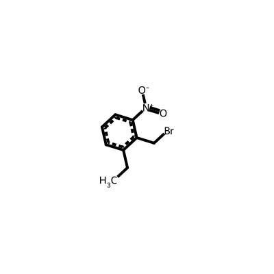 CCc1cccc([N+](=O)[O-])c1CBr